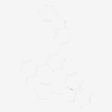 c1ccc(-c2nc(-c3ccc4sc5ccccc5c4c3)nc(-c3cccc4sc5ccc(-c6nc7ccccc7o6)cc5c34)n2)cc1